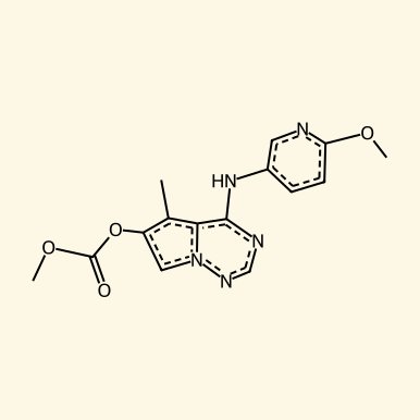 COC(=O)Oc1cn2ncnc(Nc3ccc(OC)nc3)c2c1C